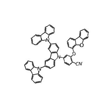 N#Cc1ccc(-n2c3ccc(-n4c5ccccc5c5ccccc54)cc3c3cc(-n4c5ccccc5c5ccccc54)ccc32)cc1Oc1cccc2c1oc1ccccc12